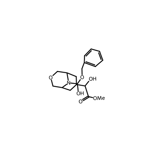 COC(=O)C(O)C1CC2COCC(C1)N2C(O)OCc1ccccc1